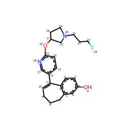 Oc1ccc2c(c1)CCCC=C2c1ccc(OC2CCN(CCCF)C2)nc1